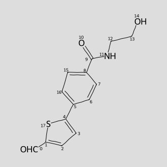 O=Cc1ccc(-c2ccc(C(=O)NCCO)cc2)s1